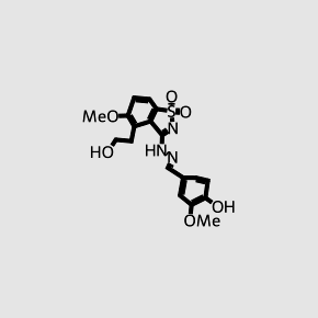 COc1cc(/C=N/NC2=NS(=O)(=O)c3ccc(OC)c(CCO)c32)ccc1O